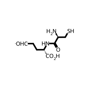 N[C@@H](CS)C(=O)N[C@@H](CC[C]=O)C(=O)O